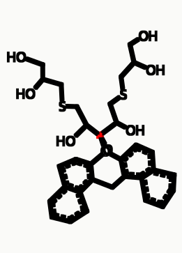 OCC(O)CSCC(O)COc1ccc2ccccc2c1Cc1c(OCC(O)CSCC(O)CO)ccc2ccccc12